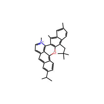 Cc1ccc2c(CC(C)(C)C)c3c(c(C)c2c1)-c1c2c(c4ccc(C(C)C)cc4cc2cc[n+]1C)O3